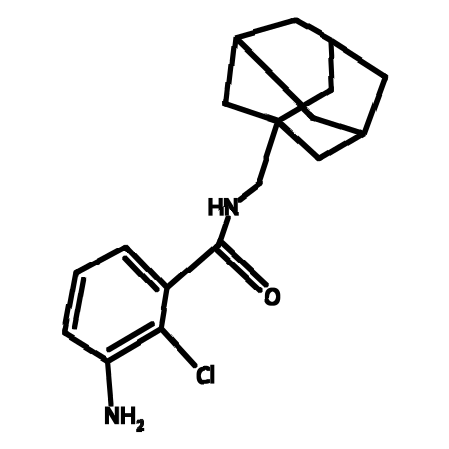 Nc1cccc(C(=O)NCC23CC4CC(CC(C4)C2)C3)c1Cl